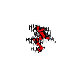 CC[C@H](C)[C@@H]([C@@H](CC(=O)N1C[C@@H](O)C[C@H]1[C@H](OC)[C@@H](C)C(=O)N[C@H](C)C(NC(=O)OCc1ccc(NC(=O)[C@H](CCCNC(N)=O)NC(=O)[C@@H](NC(=O)CCCCCN2C(=O)CC(SCC3(CC(N)=O)CC3)C2=O)C(C)C)cc1)c1ccc(OC)cc1)OC)N(C)C(=O)[C@@H](NC(=O)[C@H](C(C)C)N(C)C)C(C)C